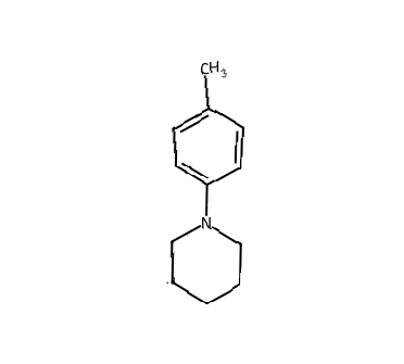 Cc1ccc(N2C[CH]CCC2)cc1